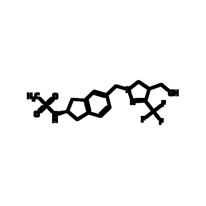 CS(=O)(=O)N[C@@H]1Cc2ccc(CN3CC(CO)C(C(F)(F)F)=N3)cc2C1